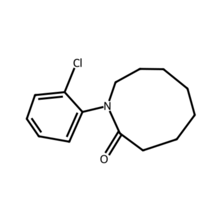 O=C1CCCCCCCN1c1ccccc1Cl